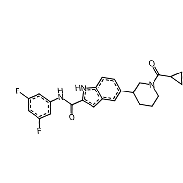 O=C(Nc1cc(F)cc(F)c1)c1cc2cc(C3CCCN(C(=O)C4CC4)C3)ccc2[nH]1